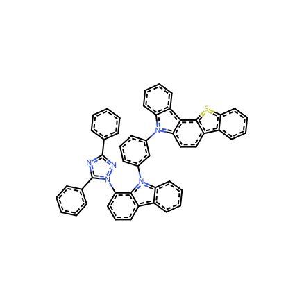 c1ccc(-c2nc(-c3ccccc3)n(-c3cccc4c5ccccc5n(-c5cccc(-n6c7ccccc7c7c8sc9ccccc9c8ccc76)c5)c34)n2)cc1